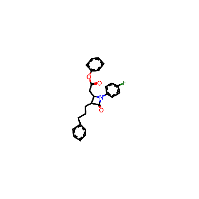 O=C(CC1C(CCCc2ccccc2)C(=O)N1c1ccc(F)cc1)Oc1ccccc1